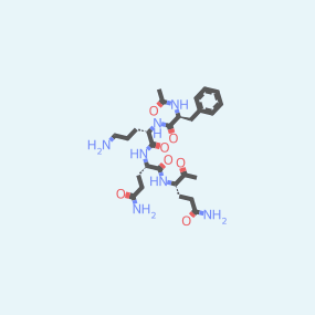 CC(=O)N[C@@H](Cc1ccccc1)C(=O)N[C@@H](CCCN)C(=O)N[C@@H](CCC(N)=O)C(=O)N[C@@H](CCC(N)=O)C(C)=O